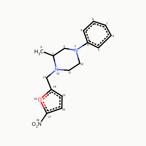 CC1CN(c2ccccc2)CCN1Cc1ccc([N+](=O)[O-])o1